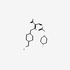 COCC1CCC(Cc2nc(C[C@H]3CC[C@H](O)CC3)ncc2C(C)=O)CC1